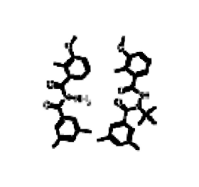 COc1cccc(C(=O)N(N)C(=O)c2cc(C)cc(C)c2)c1C.COc1cccc(C(=O)NN(C(=O)c2cc(C)cc(C)c2)C(C)(C)C)c1C